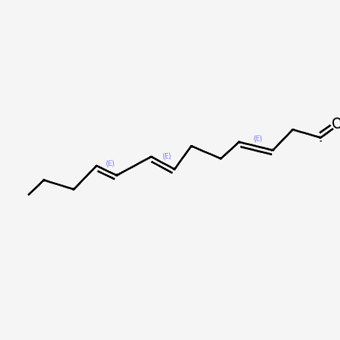 CCC/C=C/C=C/CC/C=C/C[C]=O